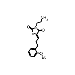 CCOc1ccccc1CCC=C1SC(=O)N(CCN)C1=O